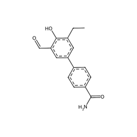 CCc1cc(-c2ccc(C(N)=O)cc2)cc(C=O)c1O